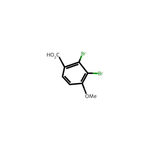 COc1ccc(C(=O)O)c(Br)c1Br